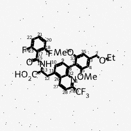 CCOCc1cc(OC)c(-c2ccc(CC(NC(=O)c3c(F)cccc3F)C(=O)O)c3ccc(C(F)(F)F)nc23)c(OC)c1